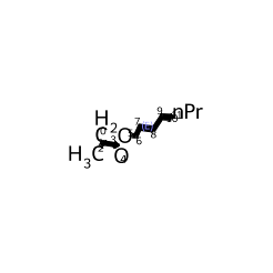 C=C(C)C(=O)OC/C=C/C=CCCC